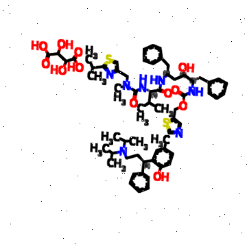 CC(C)c1nc(CN(C)C(=O)N[C@H](C(=O)N[C@@H](Cc2ccccc2)C[C@H](O)[C@H](Cc2ccccc2)NC(=O)OCc2cncs2)C(C)C)cs1.Cc1ccc(O)c([C@H](CCN(C(C)C)C(C)C)c2ccccc2)c1.O=C(O)C(O)C(O)C(=O)O